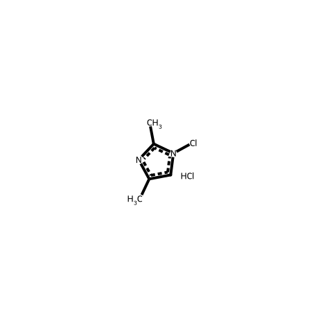 Cc1cn(Cl)c(C)n1.Cl